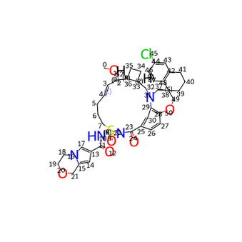 CO[C@H]1/C=C/CCC[S@@](=O)(NC(=O)c2cc3n(c2)CCOC3)=NC(=O)c2ccc3c(c2)N(C[C@@H]2CC[C@H]21)C[C@@]1(CCCc2cc(Cl)ccc21)CO3